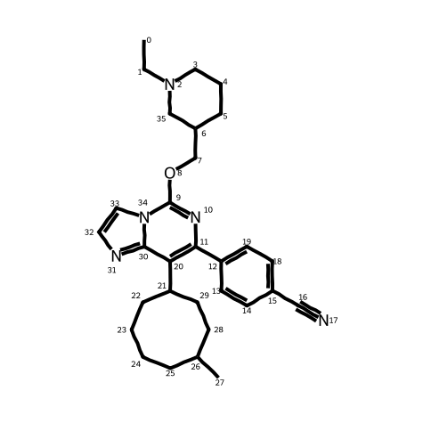 CCN1CCCC(COc2nc(-c3ccc(C#N)cc3)c(C3CCCCC(C)CC3)c3nccn23)C1